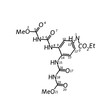 CCOC(N)=O.COC(=O)NC(=O)Nc1ccccc1NC(=O)NC(=O)OC